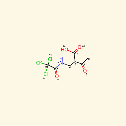 CC(=O)C(CNC(=O)C(Cl)(Cl)Cl)C(=O)O